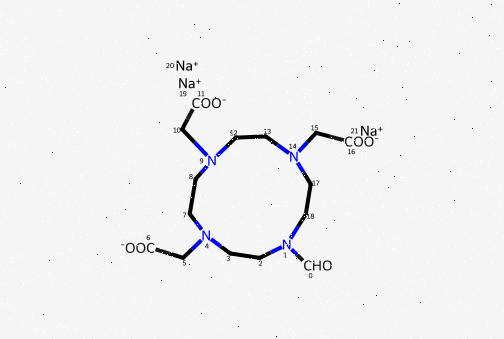 O=CN1CCN(CC(=O)[O-])CCN(CC(=O)[O-])CCN(CC(=O)[O-])CC1.[Na+].[Na+].[Na+]